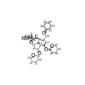 CC(C)(C)[Si](C)(C)O[C@H]1C[C@@H](OC2CCCCO2)[C@@H](/C(=C\CCOc2ccccc2)OC2CCCCO2)C1CC(=O)O